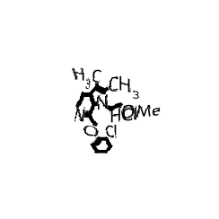 COCCn1c(C)c(C)c2ccnc(COc3ccccc3Cl)c21.Cl